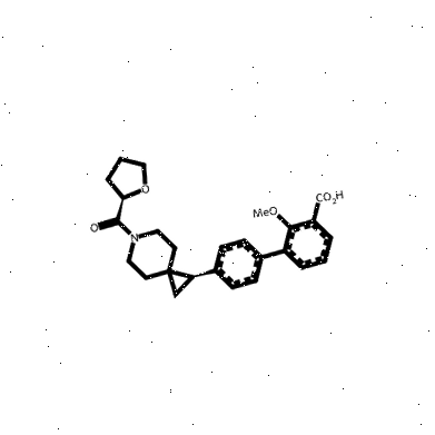 COc1c(C(=O)O)cccc1-c1ccc([C@H]2CC23CCN(C(=O)[C@H]2CCCO2)CC3)cc1